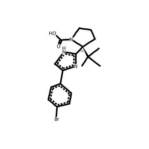 CC(C)(C)[C@]1(c2nc(-c3ccc(Br)cc3)c[nH]2)CCCN1C(=O)O